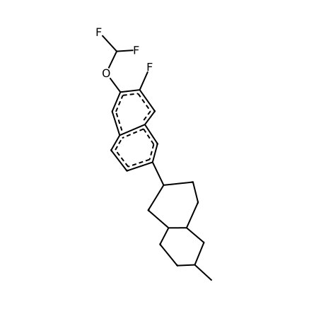 CC1CCC2CC(c3ccc4cc(OC(F)F)c(F)cc4c3)CCC2C1